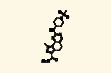 CNC(=O)c1nn(C)c2c1CCc1cnc(NC3CCN(S(C)(=O)=O)CC3)nc1-2